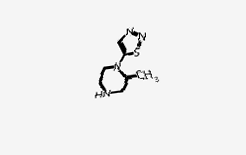 CC1CNCCN1c1cnns1